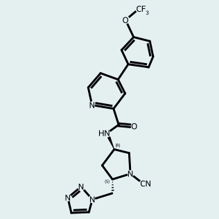 N#CN1C[C@H](NC(=O)c2cc(-c3cccc(OC(F)(F)F)c3)ccn2)C[C@H]1Cn1ccnn1